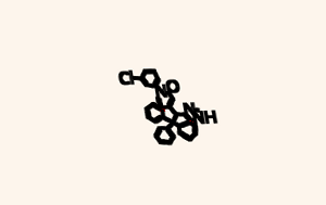 O=c1cc(C(c2c[nH]cn2)C(c2ccccc2)(c2ccccc2)c2ccccc2)ccn1-c1cccc(Cl)c1